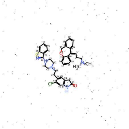 CN(C)CCC=C1c2ccccc2COc2ccccc21.O=C1Cc2cc(CCN3CCN(c4nsc5ccccc45)CC3)c(Cl)cc2N1